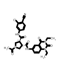 CCn1c(=O)c2cc(NC(=O)[C@@H]3CN(C(C)=O)C[C@H]3C(=O)Nc3ccc(C#N)c(Cl)c3)ccc2n(CC)c1=O